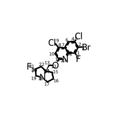 Fc1c(Br)c(Cl)cc2c(Cl)cc(OC[C@@]34CCCN3C[C@H](F)C4)nc12